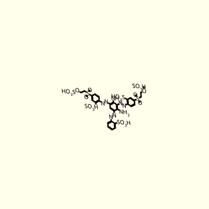 Nc1c(/N=N/c2ccccc2S(=O)(=O)O)cc(/N=N/c2ccc(S(=O)(=O)CCOS(=O)(=O)O)cc2S(=O)(=O)O)c(N)c1/N=N/c1ccc(S(=O)(=O)CCOS(=O)(=O)O)cc1S(=O)(=O)O